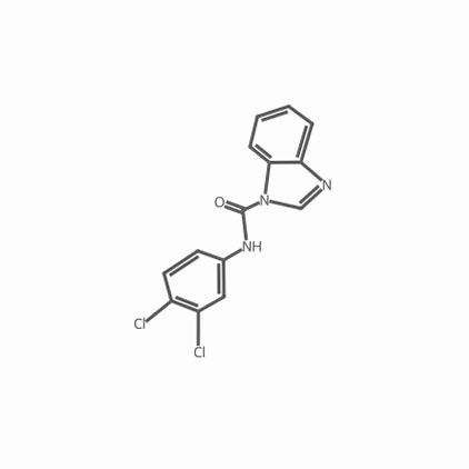 O=C(Nc1ccc(Cl)c(Cl)c1)n1cnc2ccccc21